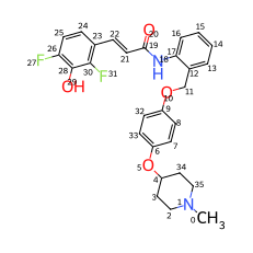 CN1CCC(Oc2ccc(OCc3ccccc3NC(=O)C=Cc3ccc(F)c(O)c3F)cc2)CC1